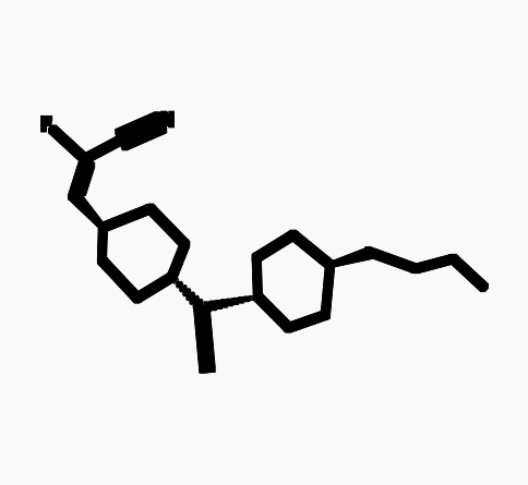 C=C([C@H]1CC[C@H](/C=C(/F)C#N)CC1)[C@H]1CC[C@H](CCCC)CC1